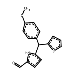 COc1ccc(C(c2ccc(C=O)[nH]2)c2cccs2)cc1